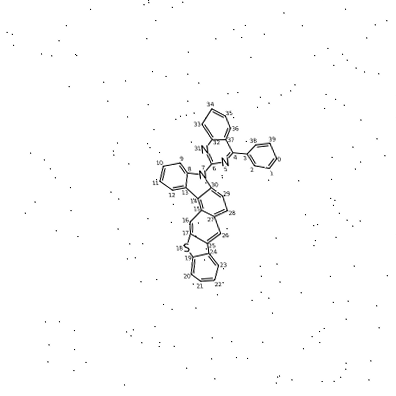 c1ccc(-c2nc(-n3c4ccccc4c4c5cc6sc7ccccc7c6cc5ccc43)nc3ccccc23)cc1